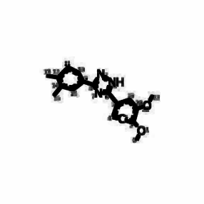 COc1ccc(-c2nc(-c3ccc(C)c(C)c3)n[nH]2)cc1OC